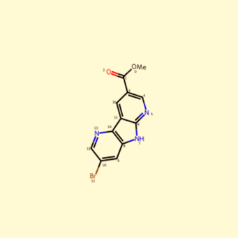 COC(=O)c1cnc2[nH]c3cc(Br)cnc3c2c1